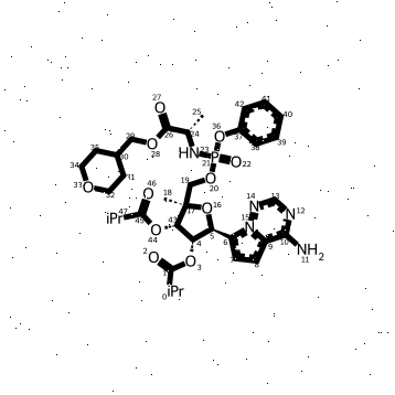 CC(C)C(=O)O[C@H]1[C@H](c2ccc3c(N)ncnn23)O[C@](C)(COP(=O)(N[C@@H](C)C(=O)OCC2CCOCC2)Oc2ccccc2)[C@H]1OC(=O)C(C)C